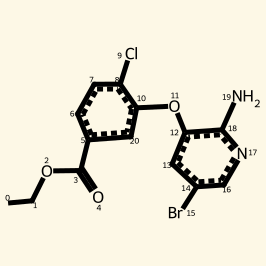 CCOC(=O)c1ccc(Cl)c(Oc2cc(Br)cnc2N)c1